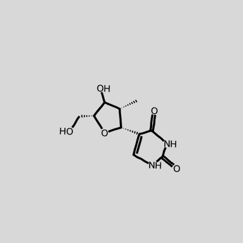 C[C@H]1C(O)[C@@H](CO)O[C@H]1c1c[nH]c(=O)[nH]c1=O